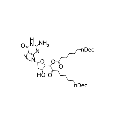 CCCCCCCCCCCCCCCC(=O)OC(C(=O)CCCCCCCCCCCCCCC)[C@H]1O[C@@H](n2cnc3c(=O)[nH]c(N)nc32)C[C@@H]1O